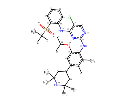 Bc1c(C)c(C2CC(B)(B)NC(B)(B)C2)cc(OC(C)C)c1Nc1ncc(Cl)c(Nc2ccccc2S(=O)(=O)C(B)(C)C)n1